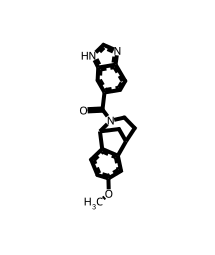 COc1ccc2c(c1)C1CCN(C(=O)c3ccc4nc[nH]c4c3)C2C1